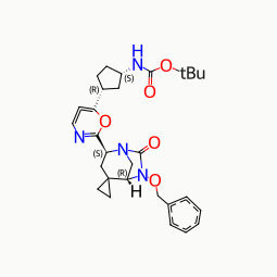 CC(C)(C)OC(=O)N[C@H]1CC[C@@H](C2=C=CN=C([C@@H]3CC4(CC4)[C@@H]4CN3C(=O)N4OCc3ccccc3)O2)C1